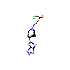 O=C(Cl)CC[n+]1ccc(-c2nc3snnc3s2)cc1